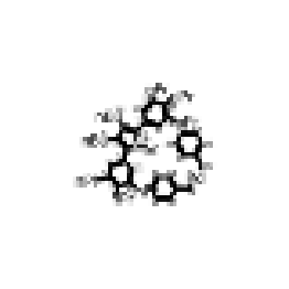 CCCCC1=C(c2cc(CCC)c(CCC)c(CCC)c2)[N+](=[N-])C(c2cc(CCC)c(CCC)c(CCC)c2)=C1CCCC.c1ccc([CH2][Pd][CH2]c2ccccc2)cc1